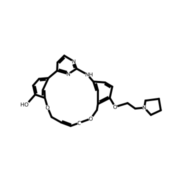 Oc1ccc2cc1OC/C=C\COCc1cc(ccc1OCCN1CCCC1)Nc1nccc-2n1